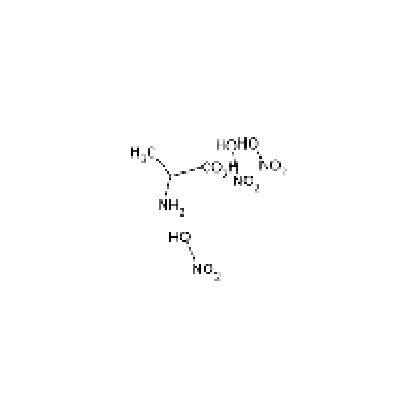 CC(N)C(=O)O.O=[N+]([O-])O.O=[N+]([O-])O.O=[N+]([O-])O